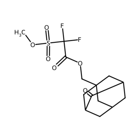 COS(=O)(=O)C(F)(F)C(=O)OCC12CC3CC(C1)C(=O)C(C3)C2